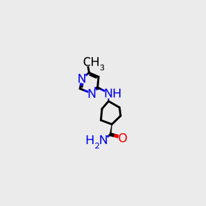 Cc1cc(N[C@H]2CC[C@H](C(N)=O)CC2)ncn1